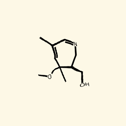 COC1(C)C=C(C)C=NC1CO